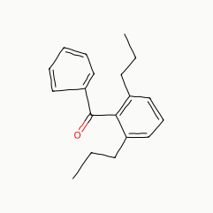 CCCc1cccc(CCC)c1C(=O)c1ccccc1